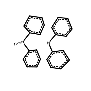 [Fe+2].c1ccc([N-]c2ccccc2)cc1.c1ccc([N-]c2ccccc2)cc1